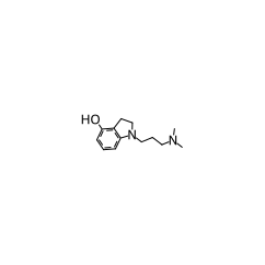 CN(C)CCCN1CCc2c(O)cccc21